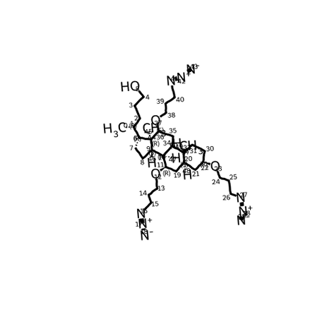 C[C@H](CCCO)[C@H]1CC[C@H]2[C@@H]3[C@H](OCCCN=[N+]=[N-])C[C@@H]4C[C@H](OCCCN=[N+]=[N-])CC[C@]4(C)[C@H]3C[C@H](OCCCN=[N+]=[N-])[C@]12C